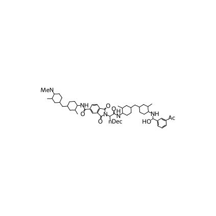 CCCCCCCCCCC(C(=O)NC1CCC(CC2CCC(NC(O)c3cccc(C(C)=O)c3)C(C)C2)CC1C)N1C(=O)c2ccc(C(=O)NC3CCC(CC4CCC(NC)C(C)C4)CC3C)cc2C1=O